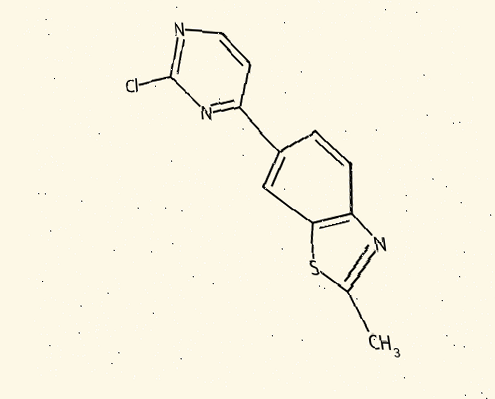 Cc1nc2ccc(-c3ccnc(Cl)n3)cc2s1